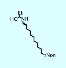 CCCCCCCCCCCCCCCCCCC=CNC(O)CC